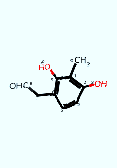 Cc1c(O)ccc(CC=O)c1O